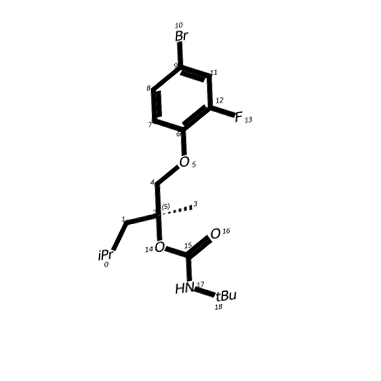 CC(C)C[C@@](C)(COc1ccc(Br)cc1F)OC(=O)NC(C)(C)C